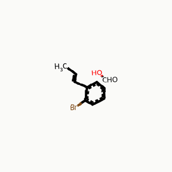 CC=Cc1ccccc1Br.O=CO